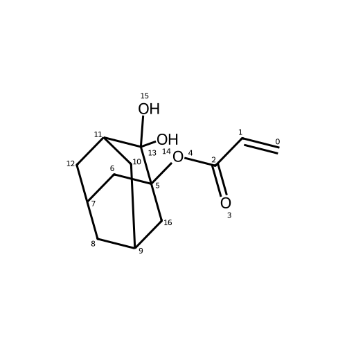 C=CC(=O)OC12CC3CC(CC(C3)C1(O)O)C2